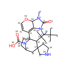 CN1C(=O)N(CC(C)(C)C)C2=C(C34CCC(CC5(CCNC5)C3C(C)(C)C)N4C(=O)O)C=COC21